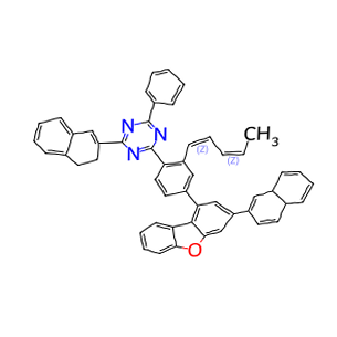 C/C=C\C=C/c1cc(-c2cc(C3=CC4C=CC=CC4C=C3)cc3oc4ccccc4c23)ccc1-c1nc(C2=Cc3ccccc3CC2)nc(-c2ccccc2)n1